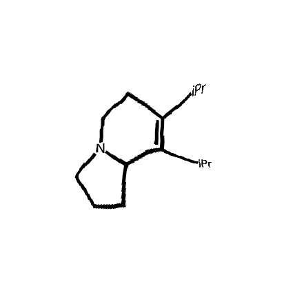 CC(C)C1=C(C(C)C)C2CCCN2CC1